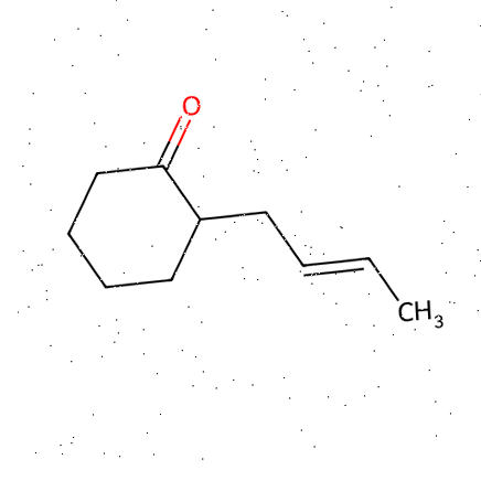 CC=CCC1CCCCC1=O